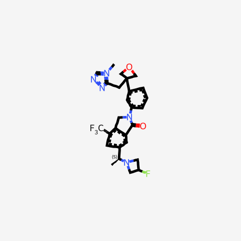 C[C@@H](c1cc2c(c(C(F)(F)F)c1)CN(c1cccc(C3(Cc4nncn4C)COC3)c1)C2=O)N1CC(F)C1